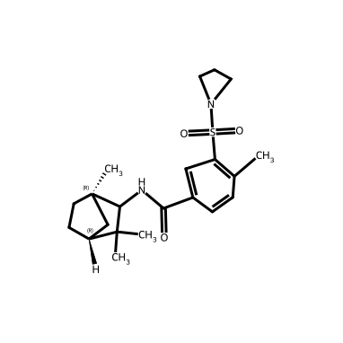 Cc1ccc(C(=O)NC2C(C)(C)[C@@H]3CC[C@]2(C)C3)cc1S(=O)(=O)N1CCC1